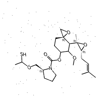 COC1C(OC(=O)N2CCC[C@H]2COC(C)S)CC[C@]2(CO2)C1[C@@]1(C)O[C@@H]1CC=C(C)C